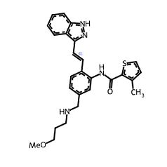 COCCCNCc1ccc(/C=C/c2n[nH]c3ccccc23)c(NC(=O)c2sccc2C)c1